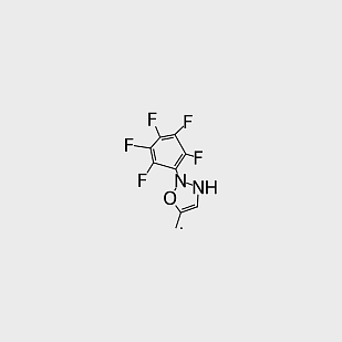 [CH2]C1=CNN(c2c(F)c(F)c(F)c(F)c2F)O1